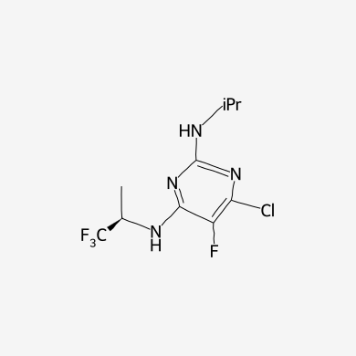 CC(C)Nc1nc(Cl)c(F)c(N[C@H](C)C(F)(F)F)n1